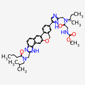 CCCC(=O)N(Cc1nc2ccc3cc4c(cc3c2[nH]1)OCc1cc(-c2cnc(CN(C(=O)CNC(=O)OC)[C@@H](C)CC)[nH]2)ccc1-4)CC(C)C